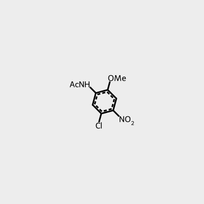 COc1cc([N+](=O)[O-])c(Cl)cc1NC(C)=O